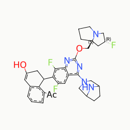 CC(=O)c1cccc2c1C(c1c(F)cc3c(N4CC5CCC(C4)N5)nc(OC[C@@]45CCCN4C[C@H](F)C5)nc3c1F)CC(O)=C2